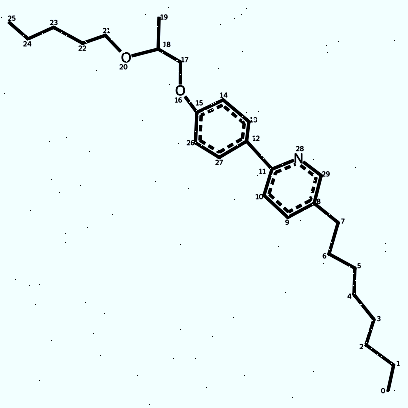 CCCCCCCCc1ccc(-c2ccc(OCC(C)OCCCCC)cc2)nc1